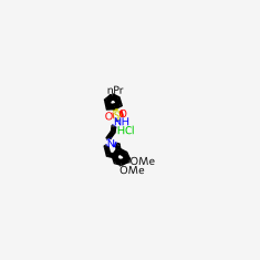 CCCc1ccc(S(=O)(=O)NCCCN2CCc3cc(OC)c(OC)cc3C2)cc1.Cl